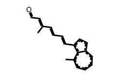 CC(/C=C/C=C/c1ccc2ccccc(C)c1-2)=C\C=O